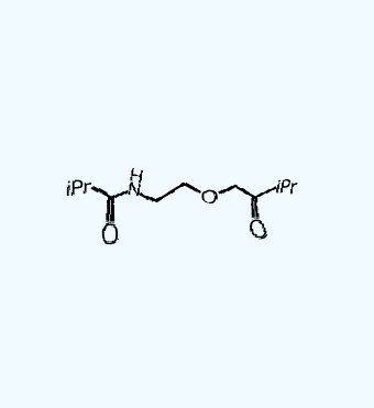 CC(C)C(=O)COCCNC(=O)C(C)C